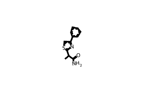 CC(C(N)=O)c1nc(-c2ccccc2)cs1